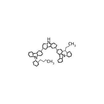 CCCCc1ccccc1-n1c2ccccc2c2cc(-c3ccc4[nH]c5ccc(-c6cc7c8c(c6)c6ccccc6n8-c6ccccc6C7CCC)cc5c4c3)ccc21